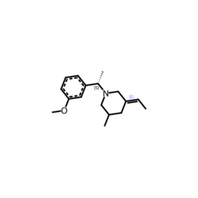 C/C=C1\CC(C)CN([C@@H](C)c2cccc(OC)c2)C1